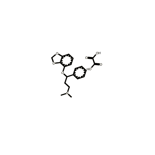 CN(C)CCC(Oc1cccc2c1OCO2)c1ccccc1.O=C(O)C(=O)O